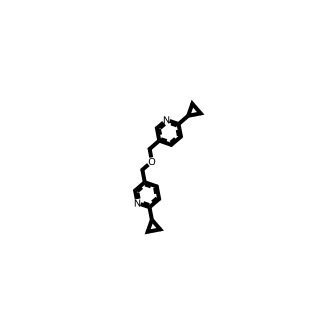 c1cc(C2CC2)ncc1COCc1ccc(C2CC2)nc1